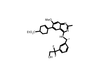 CCOC(=O)C1CC=C(c2cc3c(N[C@H](C)c4cccc(C(F)(F)CO)c4)nc(C)nc3cc2OC)CC1